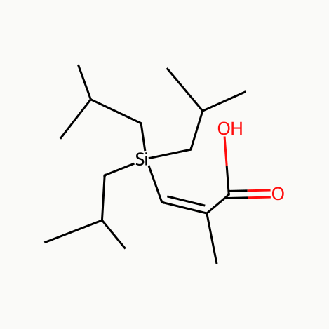 CC(=C[Si](CC(C)C)(CC(C)C)CC(C)C)C(=O)O